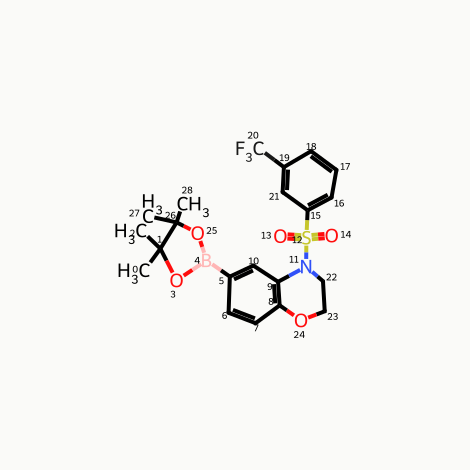 CC1(C)OB(c2ccc3c(c2)N(S(=O)(=O)c2cccc(C(F)(F)F)c2)CCO3)OC1(C)C